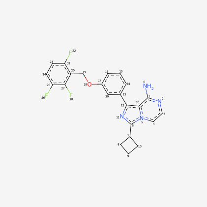 Nc1nccn2c(C3CCC3)nc(-c3cccc(OCc4c(F)ccc(F)c4F)c3)c12